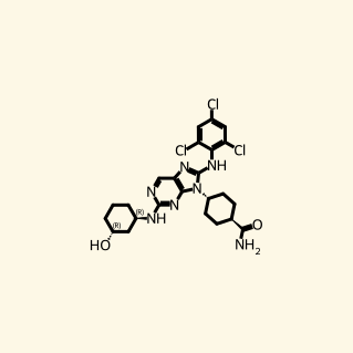 NC(=O)[C@H]1CC[C@H](n2c(Nc3c(Cl)cc(Cl)cc3Cl)nc3cnc(N[C@@H]4CCC[C@@H](O)C4)nc32)CC1